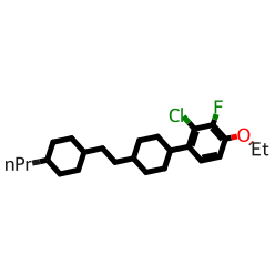 CCCC1CCC(CCC2CCC(c3ccc(OCC)c(F)c3Cl)CC2)CC1